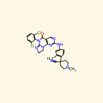 Cc1cc(Nc2ncc3c(n2)N2CCN=C2N(c2c(Cl)cccc2Cl)C3=O)ccc1C1(C#N)CCN(C)CC1